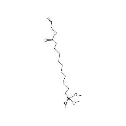 C=CCOC(=O)CCCCCCCCCC[Si](OC)(OC)OC